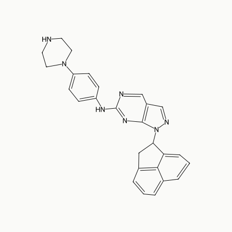 c1cc2c3c(cccc3c1)C(n1ncc3cnc(Nc4ccc(N5CCNCC5)cc4)nc31)C2